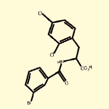 O=C(NC(Cc1ccc(Cl)cc1Cl)C(=O)O)c1cccc(Br)c1